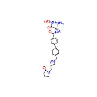 NC[C@H](NC(=O)c1ccc(-c2ccc(CNCCCN3CCCC3=O)cc2)cc1)C(=O)NO